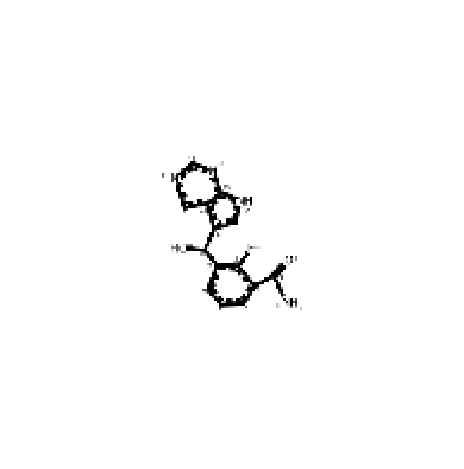 NC(=O)c1cccc(C(O)c2c[nH]c3ncncc23)c1F